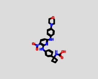 O=C(O)NC1(c2ccc(Nc3nc(Nc4ccc(N5CCOCC5)cc4)ccc3[N+](=O)[O-])cc2)CCC1